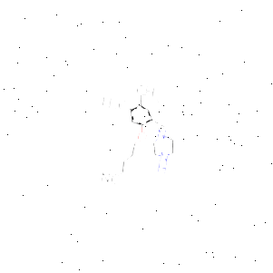 Cc1cc(CN2CCNCC2)c(OCCCCC#N)cc1C